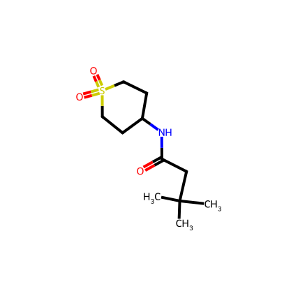 CC(C)(C)CC(=O)NC1CCS(=O)(=O)CC1